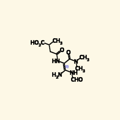 CC(CC(=O)N/C(C(=O)N(C)C)=C(\N)NC=O)C(=O)O